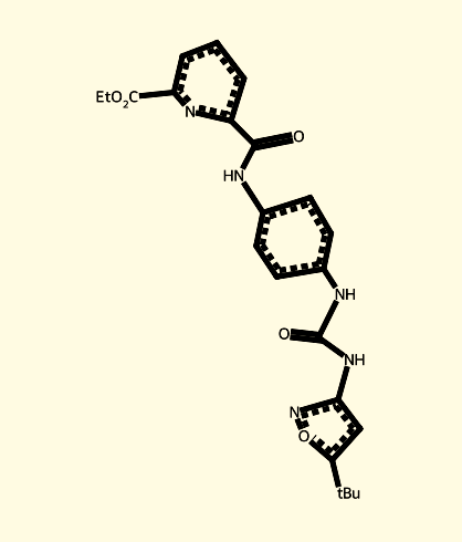 CCOC(=O)c1cccc(C(=O)Nc2ccc(NC(=O)Nc3cc(C(C)(C)C)on3)cc2)n1